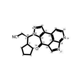 N#CC[C@H](C1CCCC1)n1ncc2c1C(=O)C1C=Nc3nccc-2c31